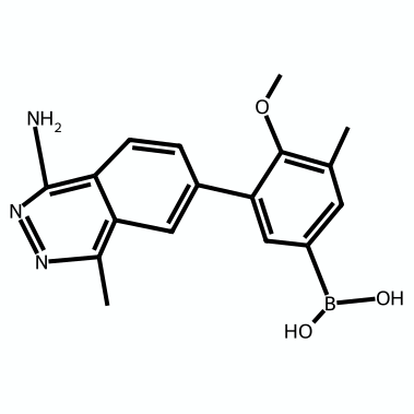 COc1c(C)cc(B(O)O)cc1-c1ccc2c(N)nnc(C)c2c1